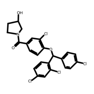 O=C(c1ccc(OC(c2ccc(Cl)cc2)c2ccc(Cl)cc2Cl)c(Cl)c1)N1CCC(O)C1